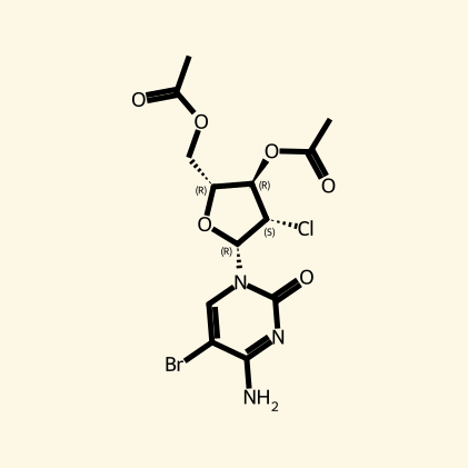 CC(=O)OC[C@H]1O[C@@H](n2cc(Br)c(N)nc2=O)[C@@H](Cl)[C@@H]1OC(C)=O